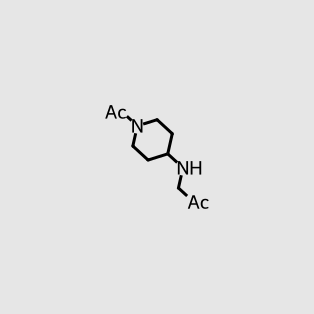 CC(=O)CNC1CCN(C(C)=O)CC1